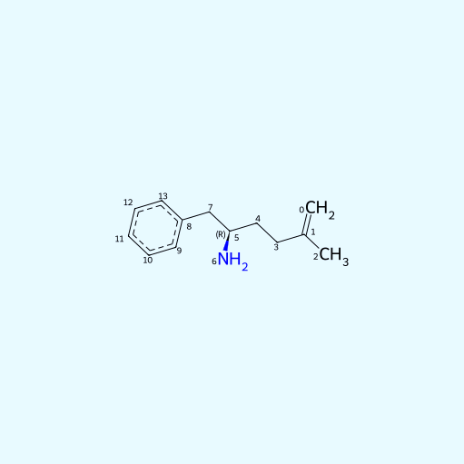 C=C(C)CC[C@@H](N)Cc1ccccc1